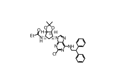 CCC(=O)N[C@H]1C[C@@H](n2cnc3c(NCC(c4ccccc4)c4ccccc4)nc(Cl)nc32)[C@@H]2OC(C)(C)O[C@@H]21